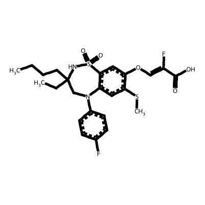 CCCCC1(CC)CN(c2ccc(F)cc2)c2cc(SC)c(O/C=C(\F)C(=O)O)cc2S(=O)(=O)N1